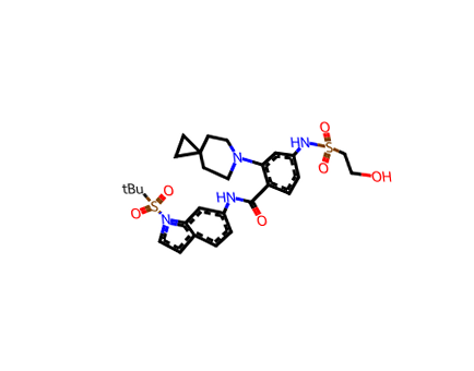 CC(C)(C)S(=O)(=O)n1ccc2ccc(NC(=O)c3ccc(NS(=O)(=O)CCO)cc3N3CCC4(CC3)CC4)cc21